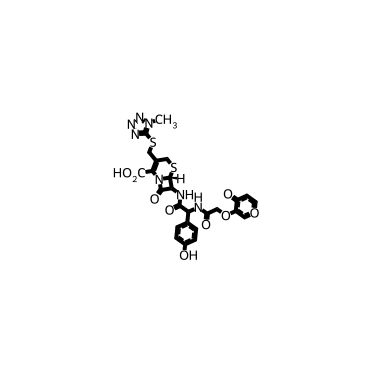 Cn1nnnc1SCC1=C(C(=O)O)N2C(=O)C(NC(=O)C(NC(=O)COc3coccc3=O)c3ccc(O)cc3)[C@H]2SC1